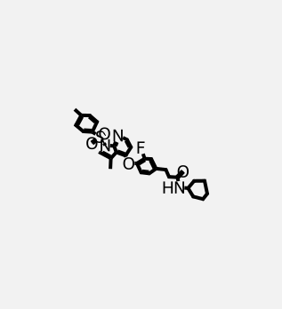 Cc1ccc(S(=O)(=O)n2cc(C)c3c(Oc4ccc(CCC(=O)NC5CCCCC5)cc4F)ccnc32)cc1